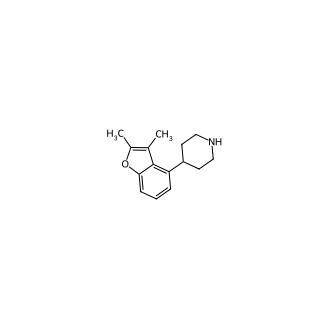 Cc1oc2cccc(C3CCNCC3)c2c1C